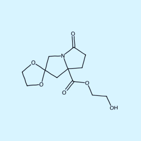 O=C1CCC2(C(=O)OCCO)CC3(CN12)OCCO3